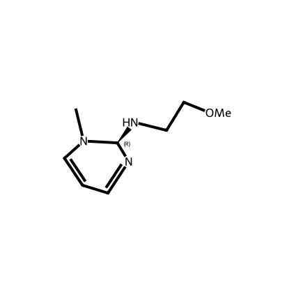 COCCN[C@H]1N=CC=CN1C